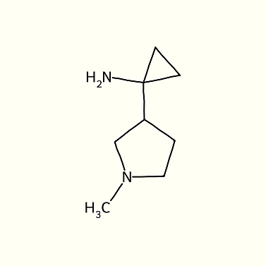 CN1CCC(C2(N)CC2)C1